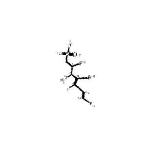 O=S(=O)([O-])CC(F)C(F)C(F)C(F)CCF.[Na+]